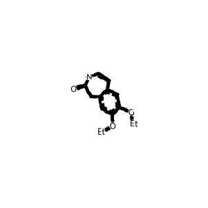 CCOc1cc2c(cc1OCC)CC(=O)[N]C=C2